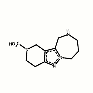 O=C(O)N1CCc2nn3c(c2C1)CNCCC3